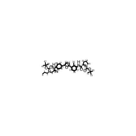 CCCN(Cc1nc2cc(-c3cnc(-c4cccc(NC(=O)[C@@H]5CCCN5C(=O)OC(C)(C)C)c4C)o3)ccc2[nH]1)C(=O)OC(C)(C)C